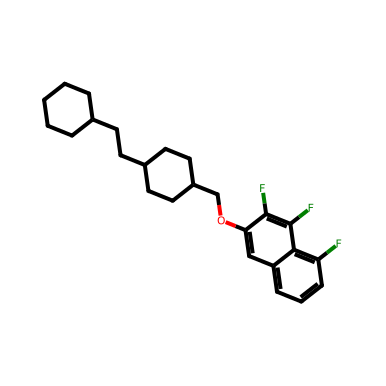 Fc1c(OCC2CCC(CCC3CCCCC3)CC2)cc2cccc(F)c2c1F